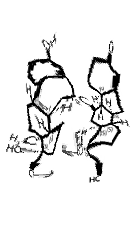 C#C[C@]1(O)CC[C@H]2[C@@H]3CCC4=CC(=O)CC[C@@H]4[C@H]3C(=C)C[C@@]21CC.C#C[C@]1(O)CC[C@H]2[C@@H]3CCc4cc(O)ccc4[C@H]3CC[C@@]21C